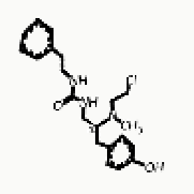 CN(CCCl)[C@H](CNC(=O)NCCc1ccccc1)Cc1ccc(O)cc1